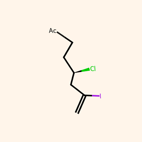 C=C(I)C[C@H](Cl)CCC(C)=O